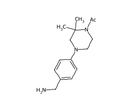 CC(=O)N1CCN(c2ccc(CN)cc2)CC1(C)C